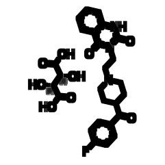 O=C(O)[C@H](O)[C@@H](O)C(=O)O.O=C(c1ccc(F)cc1)C1CCN(CCn2c(=O)[nH]c3ccccc3c2=O)CC1